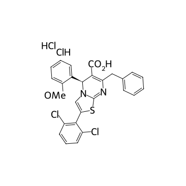 COc1ccccc1[C@H]1C(C(=O)O)=C(Cc2ccccc2)N=C2SC(c3c(Cl)cccc3Cl)=CN21.Cl.Cl